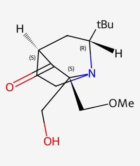 COC[C@@]1(CO)C(=O)[C@H]2CCN1[C@@H](C(C)(C)C)C2